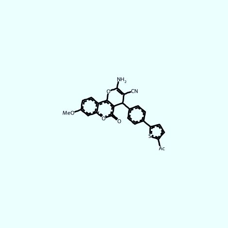 COc1ccc2c3c(c(=O)oc2c1)C(c1ccc(-c2ccc(C(C)=O)s2)cc1)C(C#N)=C(N)O3